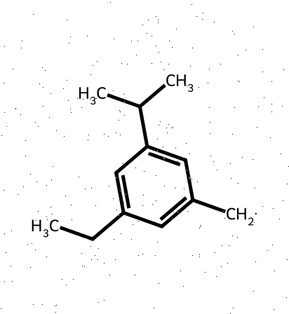 [CH2]c1cc(CC)cc(C(C)C)c1